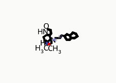 C/C=C1\[C@H]2C=C(C)C[C@]1(/N=C/C=C/c1ccc3ccccc3c1)c1ccc(=O)[nH]c1C2